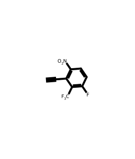 C#Cc1c([N+](=O)[O-])ccc(F)c1C(F)(F)F